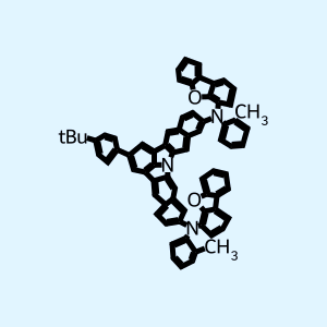 Cc1ccccc1N(c1ccc2cc3c4cc(-c5ccc(C(C)(C)C)cc5)cc5c6cc7ccc(N(c8ccccc8C)c8cccc9c8oc8ccccc89)cc7cc6n(c3cc2c1)c45)c1cccc2c1oc1ccccc12